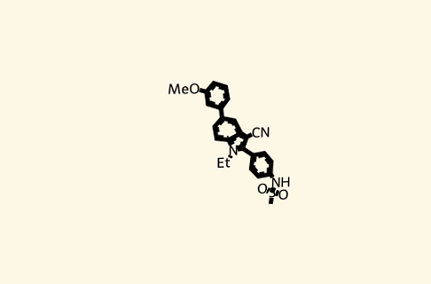 CCn1c(-c2ccc(NS(C)(=O)=O)cc2)c(C#N)c2cc(-c3cccc(OC)c3)ccc21